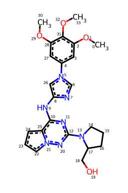 COc1cc(-n2cnc(Nc3nc(N4CCCC4CO)nn4cccc34)c2)cc(OC)c1OC